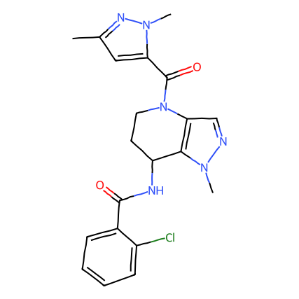 Cc1cc(C(=O)N2CCC(NC(=O)c3ccccc3Cl)c3c2cnn3C)n(C)n1